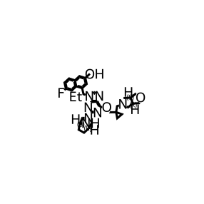 CCc1c(F)ccc2cc(O)cc(Cn3cnc4c(OCC5(CN6C[C@H]7COC[C@H]7C6)CC5)nc(N5C[C@H]6CC[C@@H](C5)N6)nc43)c12